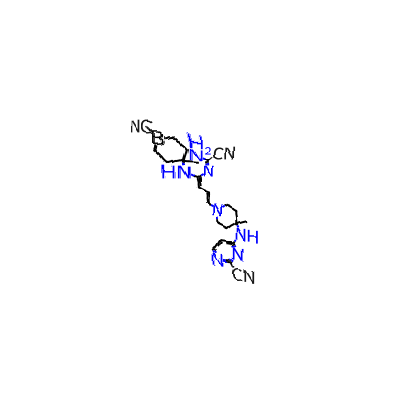 CC1(NC(=C/C=C/N2CCC(C)(Nc3ccnc(C#N)n3)CC2)/N=C(\N)C#N)CCB(C#N)CC1